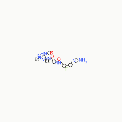 CCc1nc2c(cnn2CC)c(NC2CCOCC2)c1CNC(=O)c1cccc(C(=O)NCc2ccc(F)c(-c3cccc(CN4CCC(N)CC4)c3)c2)c1